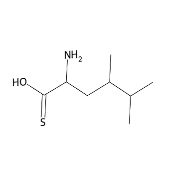 CC(C)C(C)CC(N)C(O)=S